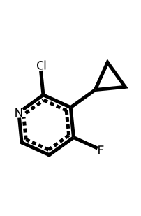 Fc1ccnc(Cl)c1C1CC1